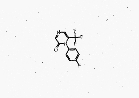 O=c1cncc(C(F)(F)F)n1-c1ccc(F)cc1